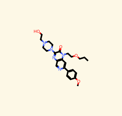 CCCOCCn1c(=O)c(N2CCN(CCO)CC2)nc2cnc(-c3ccc(OC)cc3)cc21